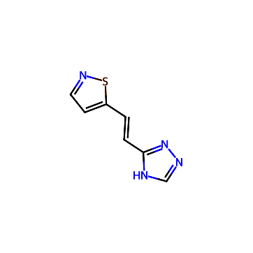 C(=Cc1ccns1)c1nnc[nH]1